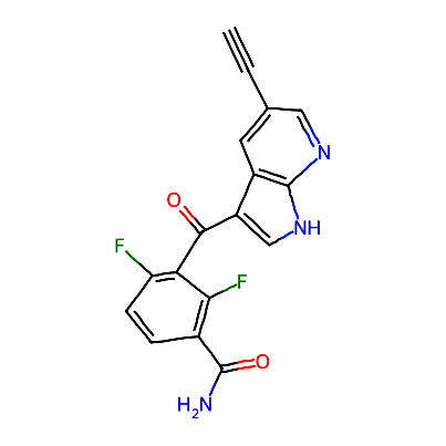 C#Cc1cnc2[nH]cc(C(=O)c3c(F)ccc(C(N)=O)c3F)c2c1